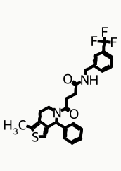 Cc1scc2c1CCN(C(=O)CCC(=O)NCc1cccc(C(F)(F)F)c1)C2c1ccccc1